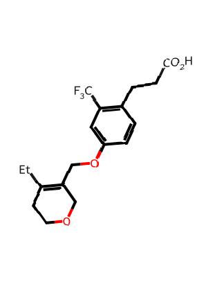 CCC1=C(COc2ccc(CCC(=O)O)c(C(F)(F)F)c2)COCC1